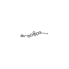 C=CCCCCCOc1ccc(OC(=O)c2ccc(OCCCC(C)CC)cc2)cc1